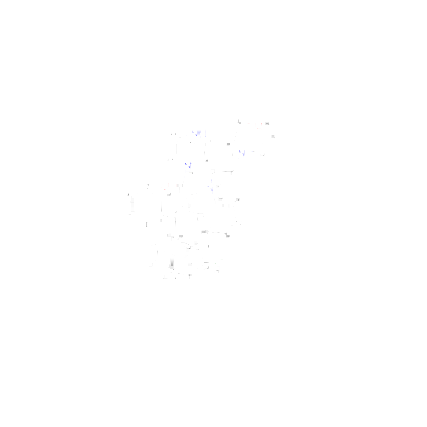 O=C(c1c(C(c2ccccc2)c2ccccc2)c2c(-c3ccccc3Cl)cccc2n1CCN1CCOCC1)N1CCNCC1